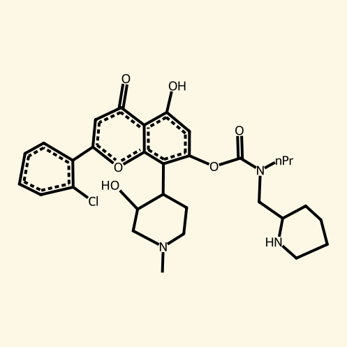 CCCN(CC1CCCCN1)C(=O)Oc1cc(O)c2c(=O)cc(-c3ccccc3Cl)oc2c1C1CCN(C)CC1O